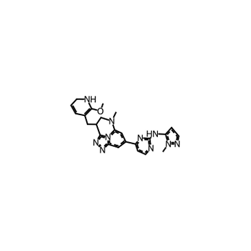 COC1=C(CC2CN(C)c3cc(-c4ccnc(Nc5ccnn5C)n4)cc4nnc2n34)C=CCN1